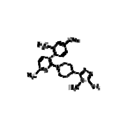 COc1ccc(-c2ccc(C)nc2N2CCC(c3nnc(N)n3C)CC2)c(C)c1